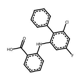 O=C(O)c1ccccc1Nc1cc(F)cc(Cl)c1-c1ccccc1